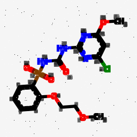 COCCOc1ccccc1S(=O)(=O)NC(=O)Nc1nc(Cl)cc(OC)n1